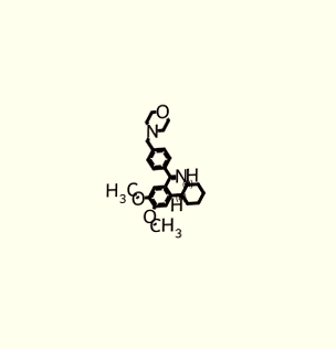 COc1cc2c(cc1OC)[C@H]1CCCC[C@H]1N=C2c1ccc(CN2CCOCC2)cc1